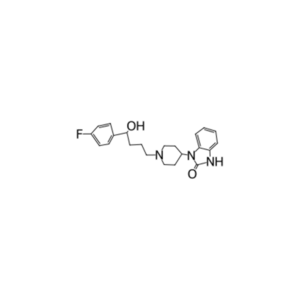 O=c1[nH]c2ccccc2n1C1CCN(CCCC(O)c2ccc(F)cc2)CC1